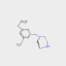 O=C(O)Cc1cc(CN2CCNCC2)cc(C(F)(F)F)c1